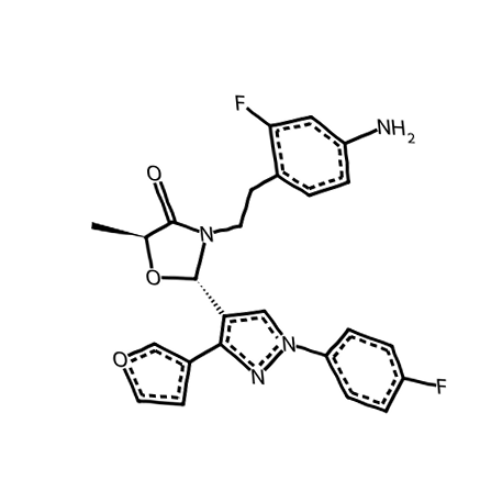 C[C@@H]1O[C@@H](c2cn(-c3ccc(F)cc3)nc2-c2ccoc2)N(CCc2ccc(N)cc2F)C1=O